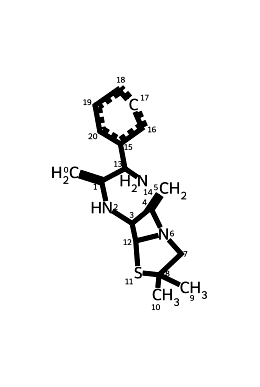 C=C(NC1C(=C)N2CC(C)(C)SC12)C(N)c1ccccc1